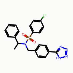 CC(c1ccccc1)N(Cc1ccc(-c2nnn[nH]2)cc1)S(=O)(=O)c1ccc(Cl)cc1